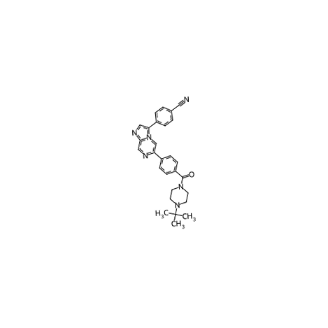 CC(C)(C)N1CCN(C(=O)c2ccc(-c3cn4c(-c5ccc(C#N)cc5)cnc4cn3)cc2)CC1